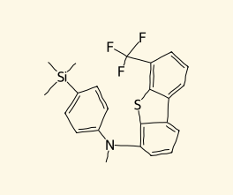 CN(c1ccc([Si](C)(C)C)cc1)c1cccc2c1sc1c(C(F)(F)F)cccc12